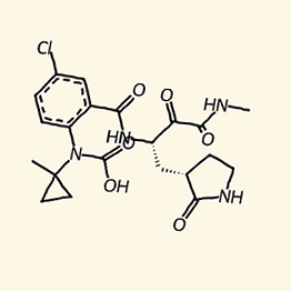 CNC(=O)C(=O)[C@H](C[C@@H]1CCNC1=O)NC(=O)c1cc(Cl)ccc1N(C(=O)O)C1(C)CC1